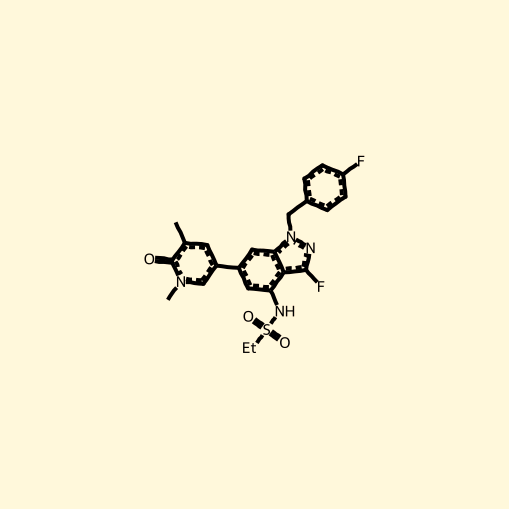 CCS(=O)(=O)Nc1cc(-c2cc(C)c(=O)n(C)c2)cc2c1c(F)nn2Cc1ccc(F)cc1